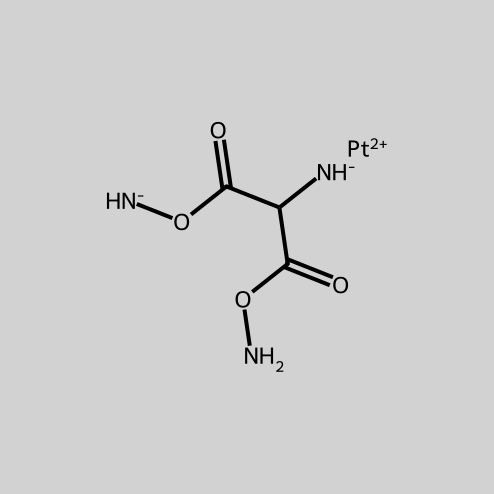 [NH-]OC(=O)C([NH-])C(=O)ON.[Pt+2]